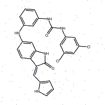 O=C(Nc1cc(Cl)cc(Cl)c1)Nc1cccc(Nc2ccc3c(c2)NC(=O)/C3=C\c2ccc[nH]2)c1